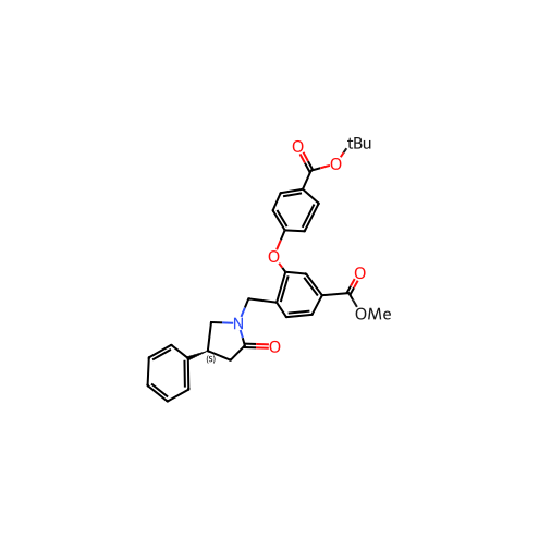 COC(=O)c1ccc(CN2C[C@H](c3ccccc3)CC2=O)c(Oc2ccc(C(=O)OC(C)(C)C)cc2)c1